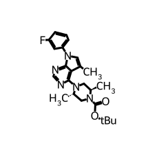 Cc1cn(-c2cccc(F)c2)c2ncnc(N3C[C@@H](C)N(C(=O)OC(C)(C)C)C[C@@H]3C)c12